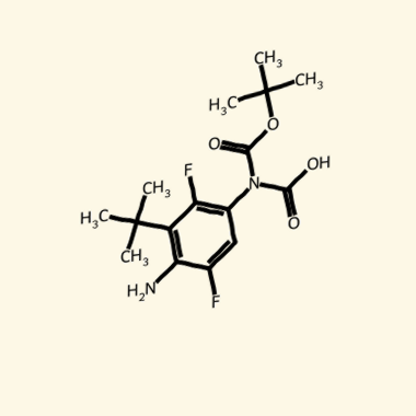 CC(C)(C)OC(=O)N(C(=O)O)c1cc(F)c(N)c(C(C)(C)C)c1F